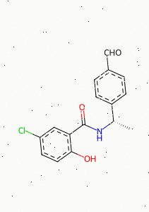 C[C@H](NC(=O)c1cc(Cl)ccc1O)c1ccc(C=O)cc1